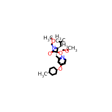 COCO[C@@]1(Cc2cc(O[C@H]3CC[C@@H](C)CC3)ccn2)C(=O)N(COC)[C@H]1CC(C)C